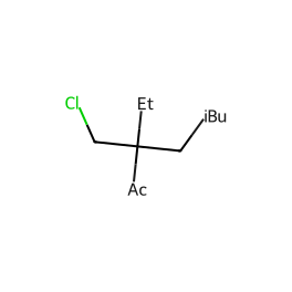 CCC(C)CC(CC)(CCl)C(C)=O